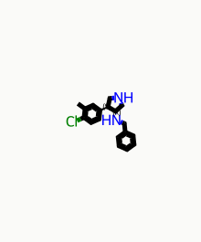 Cc1cc([C@H]2CNC[C@@H]2NCc2ccccc2)ccc1Cl